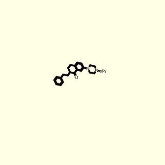 CCCN1CCN(c2ccc3c(c2)C(=O)C(CCc2ccccc2)CC3)CC1